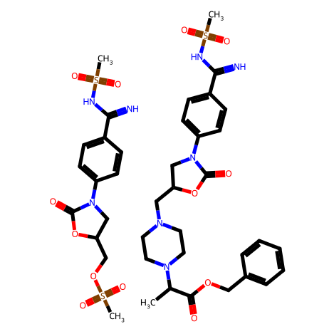 CC(C(=O)OCc1ccccc1)N1CCN(CC2CN(c3ccc(C(=N)NS(C)(=O)=O)cc3)C(=O)O2)CC1.CS(=O)(=O)NC(=N)c1ccc(N2CC(COS(C)(=O)=O)OC2=O)cc1